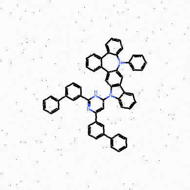 C1=C(c2cccc(-c3ccccc3)c2)N=C(c2cccc(-c3ccccc3)c2)NC1n1c2ccccc2c2cc3c(cc21)-c1ccccc1-c1ccccc1N3c1ccccc1